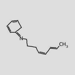 C/C=C/C=C\CCC/N=C1/C=CC=CC1